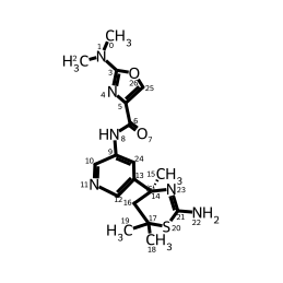 CN(C)c1nc(C(=O)Nc2cncc([C@]3(C)CC(C)(C)SC(N)=N3)c2)co1